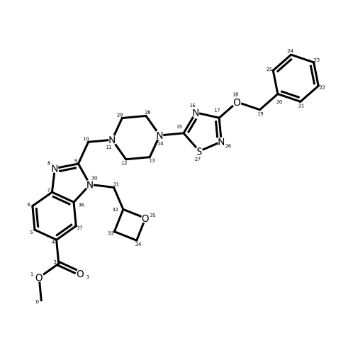 COC(=O)c1ccc2nc(CN3CCN(c4nc(OCc5ccccc5)ns4)CC3)n(CC3CCO3)c2c1